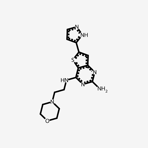 Nc1nc(NCCN2CCOCC2)c2sc(-c3ccn[nH]3)cc2n1